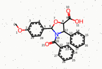 COc1ccc(C2OC(C(=O)O)C(c3ccccc3)N2C(=O)c2ccccc2)cc1